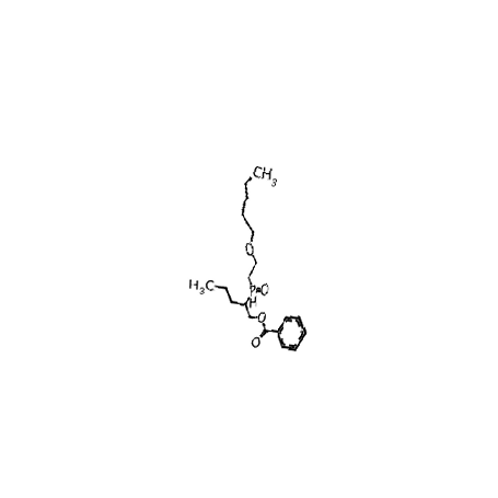 CCCCCOCC[PH](=O)C(CCC)COC(=O)c1ccccc1